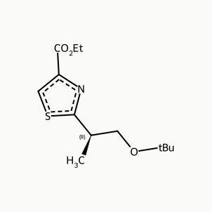 CCOC(=O)c1csc([C@H](C)COC(C)(C)C)n1